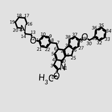 COC1=CC2=CC(Cc3ccc(OCCN4CCCCC4)cc3)C3=C(Cc4cc(OCc5ccccc5)ccc43)C2=N1